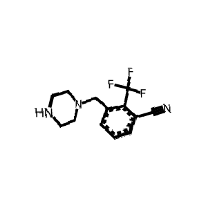 N#Cc1cccc(CN2CCNCC2)c1C(F)(F)F